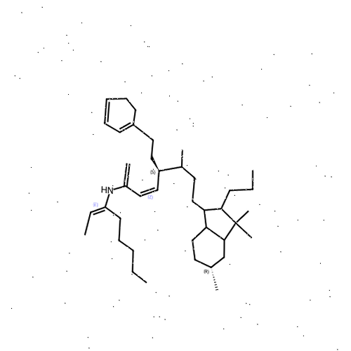 C=C(/C=C\[C@@H](CCC1=CC=CCC1)C(C)CCC1C2CC[C@@H](C)CC2C(C)(C)C1CCC)N/C(=C/C)CCCCC